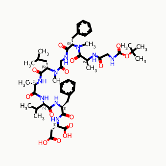 CC(C)C[C@@H](C(=O)N[C@@H](C)C(=O)N[C@H](C(=O)N[C@@H](Cc1ccccc1)C(=O)N[C@@H](CC(=O)O)C(=O)O)C(C)C)N(C)C(=O)CNC(=O)[C@H](Cc1ccccc1)N(C)C(=O)[C@H](C)NC(=O)CNC(=O)OC(C)(C)C